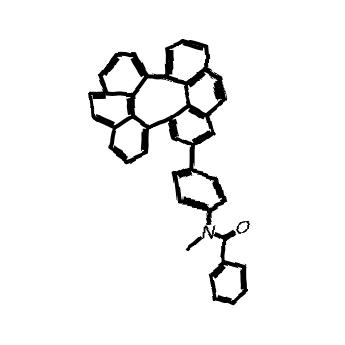 CN(C(=O)c1ccccc1)c1ccc(-c2cc3ccc4cccc5c6cccc7ccc8cccc(c(c2)c3c45)c8c76)cc1